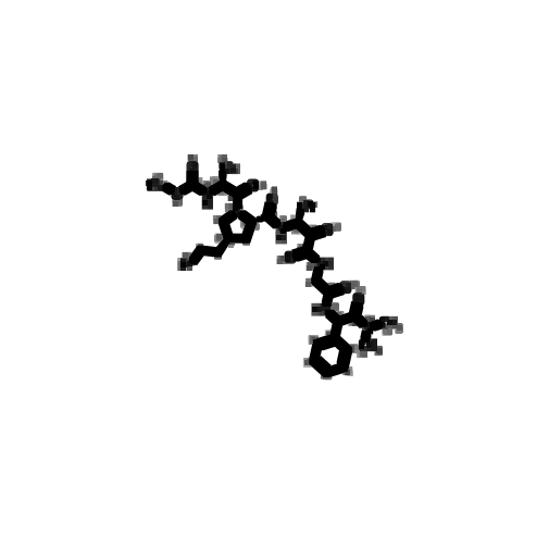 CCC[C@H](NC(=O)[C@@H]1C[C@@H](CCC(C)C)CN1C(=O)[C@@H](NC(=O)OC(C)(C)C)C(C)(C)C)C(=O)C(=O)NCC(=O)NC(C(=O)N(C)C)c1ccccc1